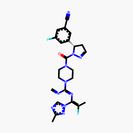 C=N/C(=N\C(=C(/C)F)n1cnc(C)n1)N1CCN(C(=O)N2N=CC[C@H]2c2cc(F)cc(C#N)c2)CC1